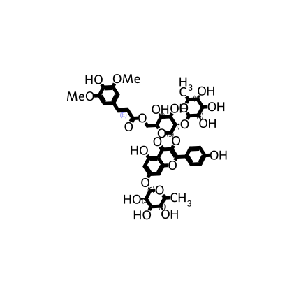 COc1cc(/C=C/C(=O)OCC2O[C@@H](Oc3c(-c4ccc(O)cc4)oc4cc(O[C@@H]5OC(C)[C@H](O)C(O)[C@@H]5O)cc(O)c4c3=O)[C@@H](OC3OC(C)[C@H](O)C(O)[C@@H]3O)C(O)[C@@H]2O)cc(OC)c1O